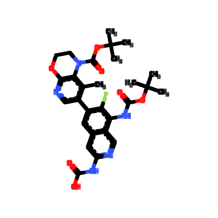 Cc1c(-c2cc3cc(NC(=O)O)ncc3c(NC(=O)OC(C)(C)C)c2F)cnc2c1N(C(=O)OC(C)(C)C)CCO2